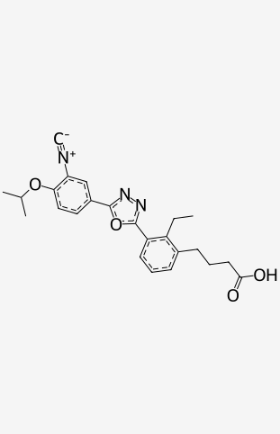 [C-]#[N+]c1cc(-c2nnc(-c3cccc(CCCC(=O)O)c3CC)o2)ccc1OC(C)C